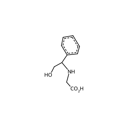 O=C(O)CNC(CO)c1ccccc1